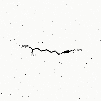 [CH2]CCCCCC#CCCCCCCC(CCCCCC[CH2])C(C)CC